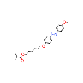 C=C(C)C(=O)OCCCCCCOc1ccc(N=Nc2ccc(OC)cc2)cc1